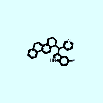 Fc1ccc2[nH]cc(C(c3cccnc3)C3CCC=c4c3ccc3c4=CCc4ccccc4-3)c2c1